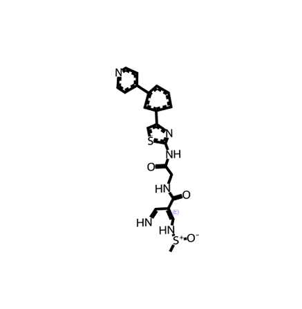 C[S+]([O-])N/C=C(\C=N)C(=O)NCC(=O)Nc1nc(-c2cccc(-c3ccncc3)c2)cs1